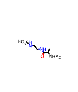 CC(=O)NC(C)C(=O)NCCNC(=O)O